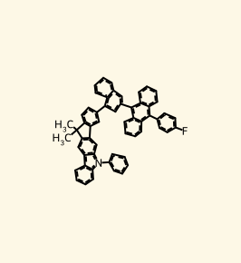 CC1(C)c2ccc(-c3cc(-c4c5ccccc5c(-c5ccc(F)cc5)c5ccccc45)cc4ccccc34)cc2-c2cc3c(cc21)c1ccccc1n3-c1ccccc1